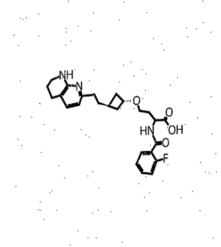 O=C(NC(CCO[C@H]1C[C@H](CCc2ccc3c(n2)NCCC3)C1)C(=O)O)c1ccccc1F